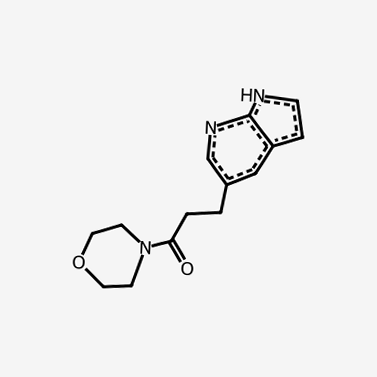 O=C(CCc1cnc2[nH]ccc2c1)N1CCOCC1